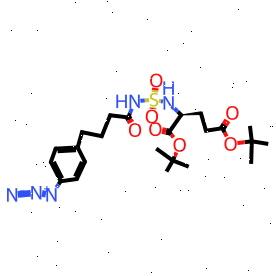 CC(C)(C)OC(=O)CC[C@H](NS(=O)(=O)NC(=O)CCCc1ccc(N=[N+]=[N-])cc1)C(=O)OC(C)(C)C